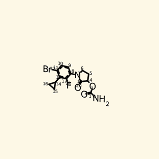 NC(=O)OC1CCN(c2ccc(Br)c(C3CC3)c2F)C1=O